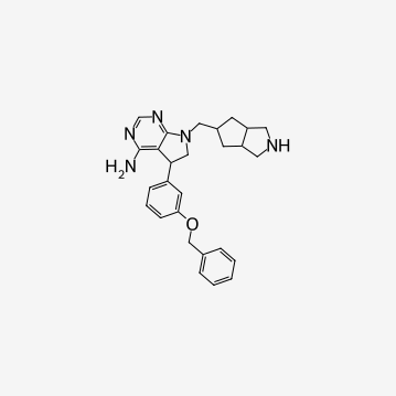 Nc1ncnc2c1C(c1cccc(OCc3ccccc3)c1)CN2CC1CC2CNCC2C1